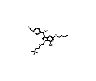 CCCCOc1nc(N)c2c(n1)c(C(O)c1ccc(C=O)cc1)cn2COCC[Si](C)(C)C